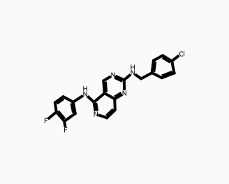 Fc1ccc(Nc2nccc3nc(NCc4ccc(Cl)cc4)ncc23)cc1F